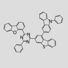 c1ccc(-c2nc(-c3cc(-c4ccc5c(c4)c4ccccc4n5-c4ccccc4)c4c(c3)sc3ccccc34)nc(-c3cccc4c3oc3ccccc34)n2)cc1